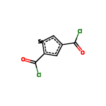 O=C(Cl)c1c[se]c(C(=O)Cl)c1